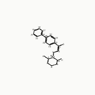 CC(=CCN1C(C)CCCC1C)c1ccc(-c2ccccc2)cc1